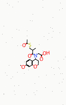 COc1ccc2c(c1)OCCC2N(CC(=O)O)C(=O)C(C)CSC(C)=O